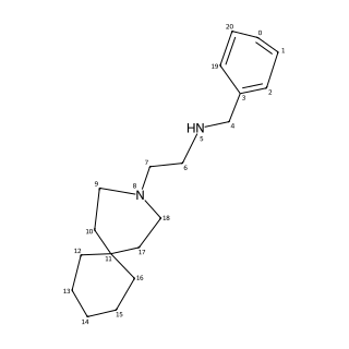 c1ccc(CNCCN2CCC3(CCCCC3)CC2)cc1